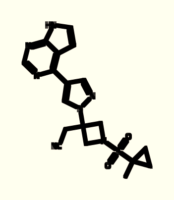 CC1(S(=O)(=O)N2CC(CC#N)(n3cc(-c4ncnc5[nH]ccc45)cn3)C2)CC1